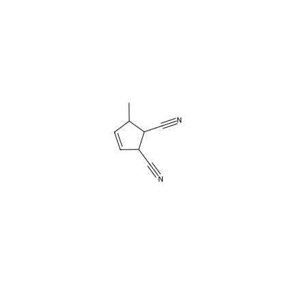 CC1C=CC(C#N)C1C#N